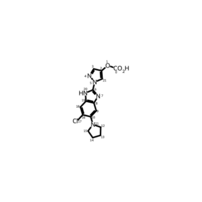 O=C(O)Oc1cnn(-c2nc3cc(N4CCCC4)c(Cl)cc3[nH]2)c1